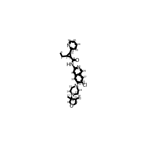 CCC1C(C(=O)Nc2cc3cc(N4CCN(C5(C)COCC5F)CC4)c(Cl)cc3cn2)C1c1ccccn1